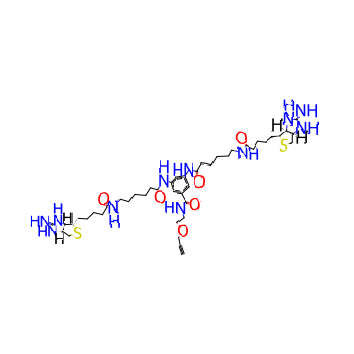 C#CCOCCNC(=O)c1cc(NC(=O)CCCCCNC(=O)CCCC[C@@H]2SC[C@@H]3NC(=N)N[C@@H]32)cc(NC(=O)CCCCCNC(=O)CCCC[C@@H]2SC[C@@H]3NC(=N)N[C@@H]32)c1